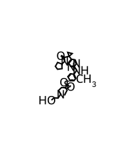 Cc1cc(S(=O)(=O)C2CCN(CCO)CC2)ccc1Nc1ncc2c(n1)N(C1CCCC1)C(=O)C21CC1